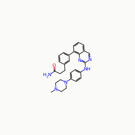 CN1CCN(c2ccc(Nc3ncc4cccc(-c5cccc(CCC(N)=O)c5)c4n3)cc2)CC1